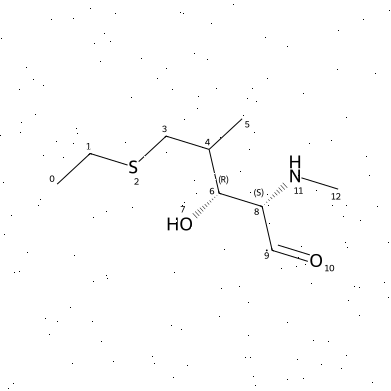 CCSCC(C)[C@@H](O)[C@@H]([C]=O)NC